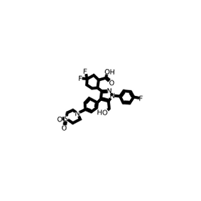 O=C(O)C1CC(F)(F)CCC1c1nn(-c2ccc(F)cc2)c(CO)c1-c1ccc(N2CCS(=O)(=O)CC2)cc1